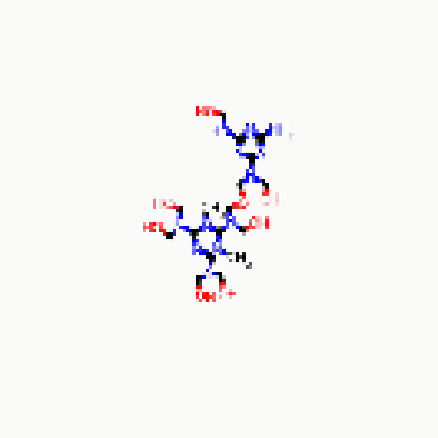 CN1C(N(CO)CO)=NC(N(CO)CO)N(C)C1N(CO)COCN(CO)c1nc(N)nc(NCO)n1